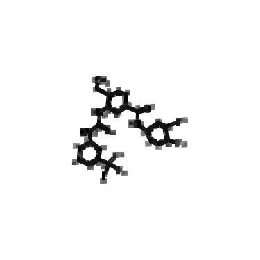 CCc1ccc(C(=O)Nc2ccc(F)c(F)c2)cc1NC(=S)Nc1cccc(C(F)(F)F)c1